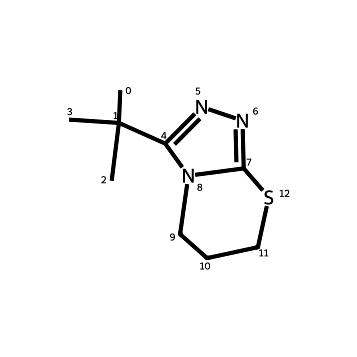 CC(C)(C)c1nnc2n1CCCS2